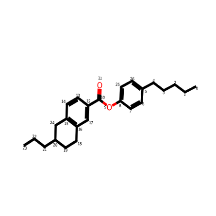 CCCCCc1ccc(OC(=O)c2ccc3c(c2)CCC(CCC)C3)cc1